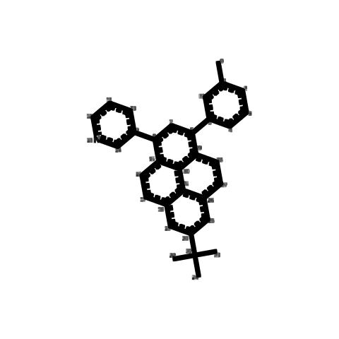 Cc1cccc(-c2cc(-c3cccnc3)c3ccc4cc(C(C)(C)C)cc5ccc2c3c45)c1